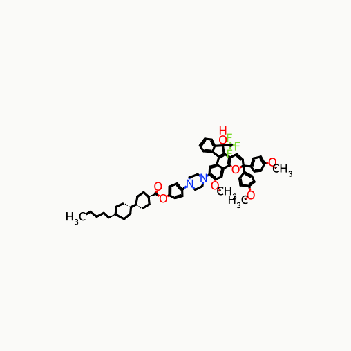 CCCCC[C@H]1CC[C@H]([C@H]2CC[C@H](C(=O)Oc3ccc(N4CCN(c5cc6c7c(c8c(c6cc5OC)OC(c5ccc(OC)cc5)(c5ccc(OC)cc5)C=C8)C(O)(C(F)(F)F)c5ccccc5-7)CC4)cc3)CC2)CC1